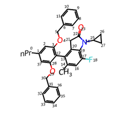 CCCc1cc(OCc2ccccc2)c(-c2c(C)cc(F)c3c2CC(=O)N3C2CC2)c(OCc2ccccc2)c1